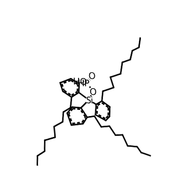 CCCCCCCCCc1ccccc1[Si](O[PH](=O)O)(c1ccccc1CCCCCCCCC)c1ccccc1CCCCCCCCC